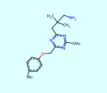 CSc1nc(COc2ccc(C(C)(C)C)cc2)nc(CC(C)(C)CN)n1